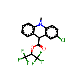 CN1c2ccccc2C(C(=O)OC(C(F)(F)F)C(F)(F)F)c2cc(Cl)ccc21